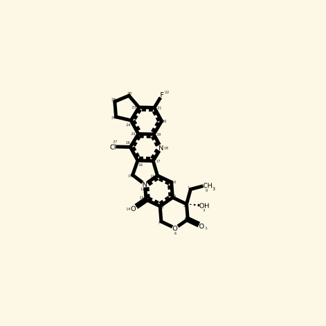 CC[C@@]1(O)C(=O)OCc2c1cc1n(c2=O)Cc2c-1nc1cc(F)c3c(c1c2Cl)CCC3